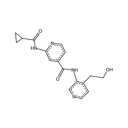 O=C(Nc1cnccc1CCO)c1ccnc(NC(=O)C2CC2)c1